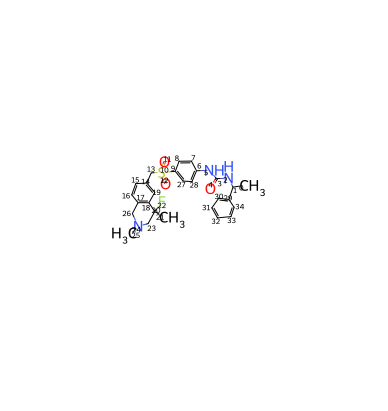 CC(NC(=O)Nc1ccc(S(=O)(=O)Cc2ccc3c(c2)C(C)(F)CN(C)C3)cc1)c1ccccc1